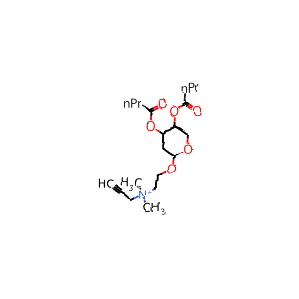 C#CC[N+](C)(C)CCOC1CC(OC(=O)CCC)C(OC(=O)CCC)CO1